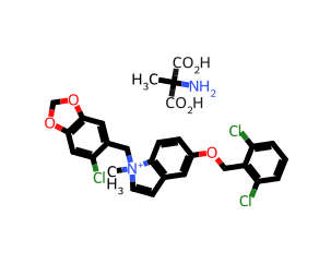 CC(N)(C(=O)O)C(=O)O.C[N+]1(Cc2cc3c(cc2Cl)OCO3)C=Cc2cc(OCc3c(Cl)cccc3Cl)ccc21